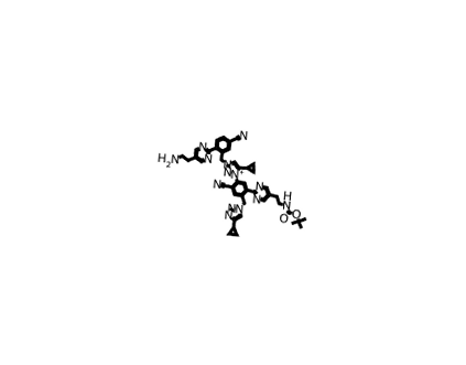 CC(C)(C)OC(=O)NCCc1cnc(-c2cc(-[n+]3nn(Cc4cc(C#N)ccc4-c4ncc(CCN)cn4)cc3C3CC3)c(C#N)cc2Cn2cc(C3CC3)nn2)nc1